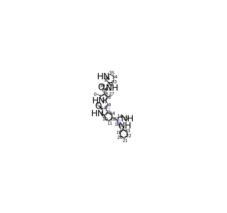 Cc1[nH]c(/C=C2\C(=O)Nc3ccc(/C(C=N)=C/Nc4ccccc4)cc32)c(C)c1C(=O)N[C@H]1CCCNC1